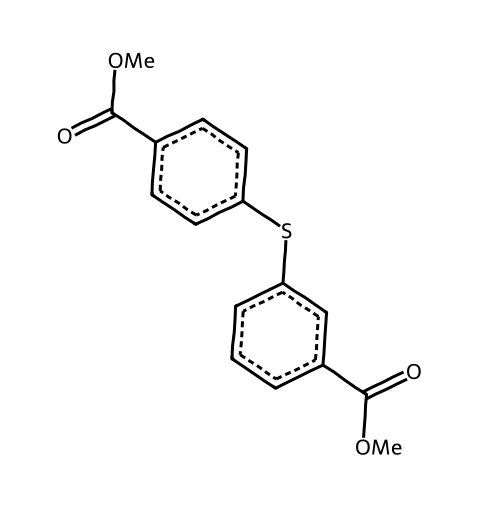 COC(=O)c1ccc(Sc2cccc(C(=O)OC)c2)cc1